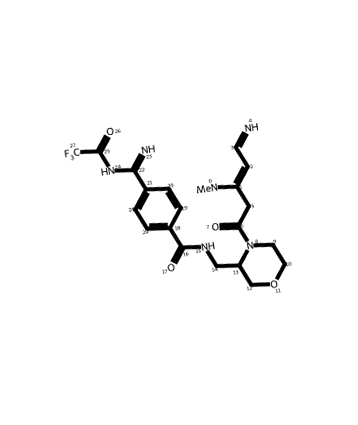 CN/C(=C\C=N)CC(=O)N1CCOCC1CNC(=O)c1ccc(C(=N)NC(=O)C(F)(F)F)cc1